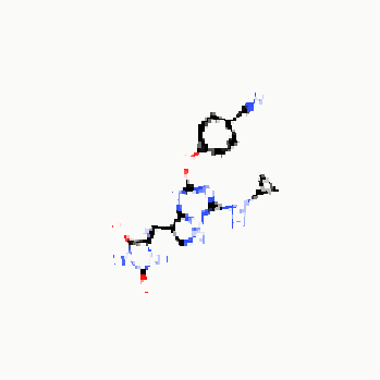 N#Cc1ccc(Oc2nc(NC3CC3)n3ncc(/C=C4\NC(=O)NC4=O)c3n2)cc1